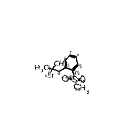 CCC(C)(C)Cc1ccccc1S(C)(=O)=O